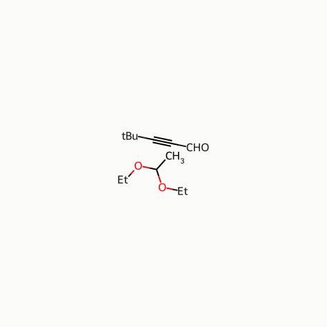 CC(C)(C)C#CC=O.CCOC(C)OCC